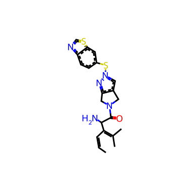 C/C=C\C(=C(C)C)C(N)C(=O)N1Cc2cn(Sc3ccc4ncsc4c3)nc2C1